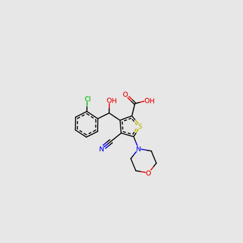 N#Cc1c(N2CCOCC2)sc(C(=O)O)c1C(O)c1ccccc1Cl